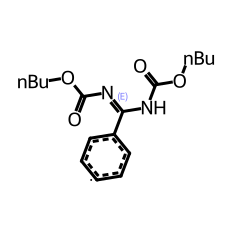 CCCCOC(=O)/N=C(/NC(=O)OCCCC)c1cc[c]cc1